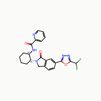 O=C(N[C@@H]1CCCC[C@H]1N1Cc2ccc(-c3nnc(C(F)F)o3)cc2C1=O)c1ccccn1